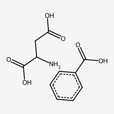 NC(CC(=O)O)C(=O)O.O=C(O)c1ccccc1